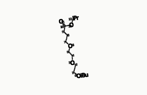 CC(C)COCCOCCOCCCC(=O)OC(C)C